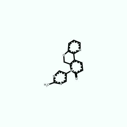 Cc1ncc(-n2c3c(ccc2=O)-c2ncccc2OC3)cn1